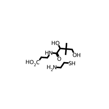 CC(C)(CO)C(O)C(=O)NCCC(=O)O.NCCS